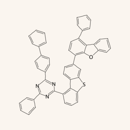 c1ccc(-c2ccc(-c3nc(-c4ccccc4)nc(-c4cccc5sc6cc(-c7ccc(-c8ccccc8)c8c7oc7ccccc78)ccc6c45)n3)cc2)cc1